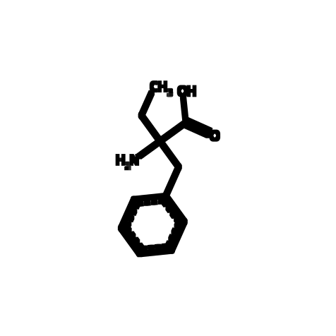 CCC(N)(Cc1ccccc1)C(=O)O